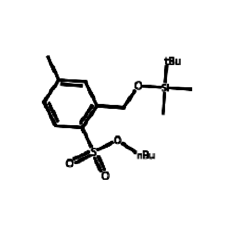 CCCCOS(=O)(=O)c1ccc(C)cc1CO[Si](C)(C)C(C)(C)C